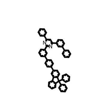 c1ccc(-c2cccc(-c3cc(-c4ccccc4)nc(-c4cccc(-c5ccc(-c6ccc7c(c6)-c6ccccc6C7(c6ccccc6)c6ccccc6)cc5)c4)n3)c2)cc1